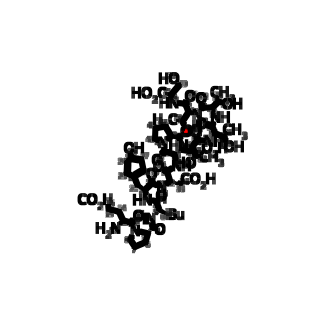 CC[C@H](C)[C@H](NC(=O)[C@@H]1CCCN1C(=O)[C@@H](N)CCC(=O)O)C(=O)N[C@@H](Cc1ccc(O)cc1)C(=O)N[C@@H](CC(=O)O)C(=O)N[C@@H](CCC(=O)O)C(=O)N1CCC[C@H]1C(=O)N[C@H](C(=O)N[C@H](C(=O)N[C@H](C(=O)N[C@H](C(=O)N[C@@H](CO)C(=O)O)[C@@H](C)O)[C@@H](C)O)[C@@H](C)O)[C@@H](C)O